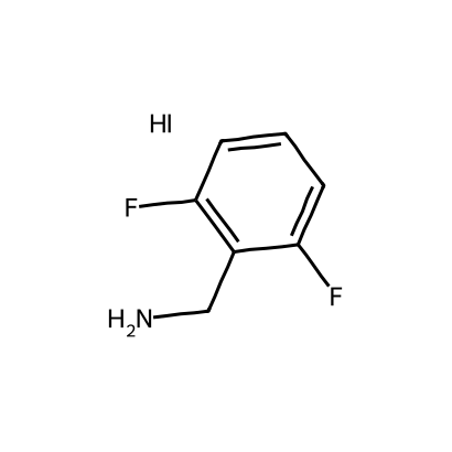 I.NCc1c(F)cccc1F